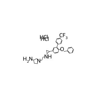 Cl.Cl.NC1CCN(CCNC2CC2c2ccc(OCc3ccccc3)c(-c3ccc(C(F)(F)F)cc3)c2)C1